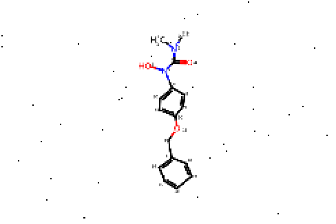 CCN(C)C(=O)N(O)c1ccc(OCc2ccccc2)cc1